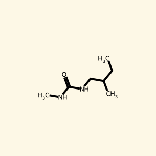 CCC(C)CNC(=O)NC